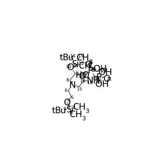 CC(C)(C)[Si](C)(C)OCCN(CCO[Si](C)(C)C(C)(C)C)CC(=O)NC(P(=O)(O)O)P(=O)(O)O